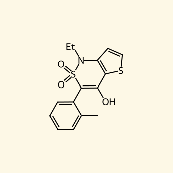 CCN1c2ccsc2C(O)=C(c2ccccc2C)S1(=O)=O